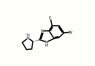 Fc1cc(Br)cc2[nH]c([C@@H]3CCCN3)nc12